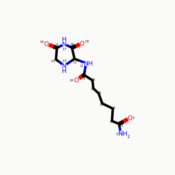 NC(=O)CCCCCCC(=O)NC1NCC(=O)NC1=O